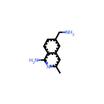 Cc1cc2cc(CN)ccc2c(N)n1